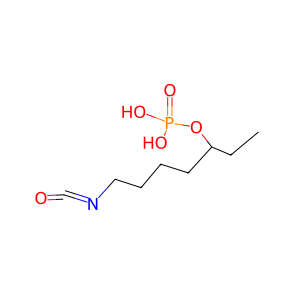 CCC(CCCCN=C=O)OP(=O)(O)O